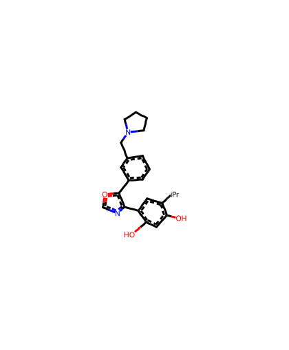 CC(C)c1cc(-c2ncoc2-c2cccc(CN3CCCC3)c2)c(O)cc1O